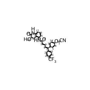 N#CCOc1ccc(/C(=C\C=C\C(=O)Nc2cccc3c2CC(O)C(=O)N3)c2ccc(C(F)(F)F)cc2)cc1